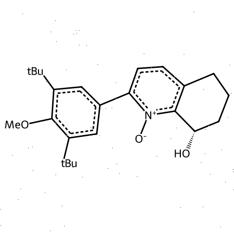 COc1c(C(C)(C)C)cc(-c2ccc3c([n+]2[O-])[C@@H](O)CCC3)cc1C(C)(C)C